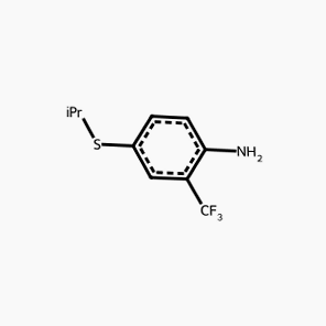 CC(C)Sc1ccc(N)c(C(F)(F)F)c1